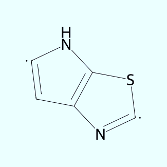 [c]1cc2n[c]sc2[nH]1